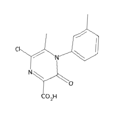 Cc1cccc(-n2c(C)c(Cl)nc(C(=O)O)c2=O)c1